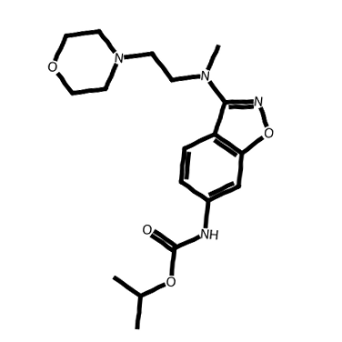 CC(C)OC(=O)Nc1ccc2c(N(C)CCN3CCOCC3)noc2c1